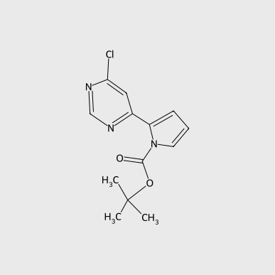 CC(C)(C)OC(=O)n1cccc1-c1cc(Cl)ncn1